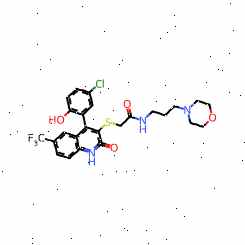 O=C(CSc1c(-c2cc(Cl)ccc2O)c2cc(C(F)(F)F)ccc2[nH]c1=O)NCCCN1CCOCC1